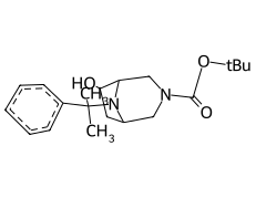 CC(C)(C)OC(=O)N1CC2CC(O)C(C1)N2C(C)(C)c1ccccc1